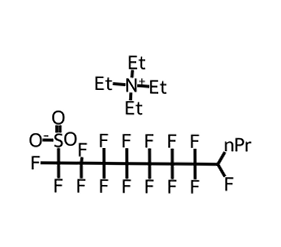 CCCC(F)C(F)(F)C(F)(F)C(F)(F)C(F)(F)C(F)(F)C(F)(F)C(F)(F)S(=O)(=O)[O-].CC[N+](CC)(CC)CC